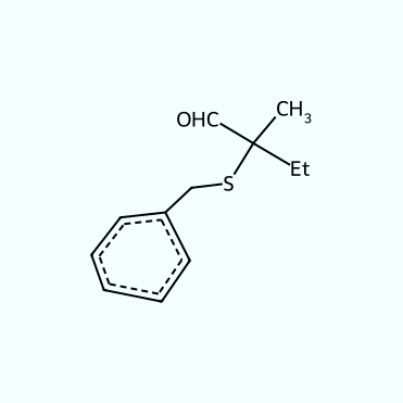 CCC(C)(C=O)SCc1ccccc1